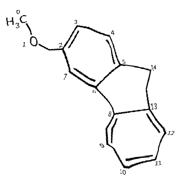 COc1ccc2c(c1)-c1ccccc1[CH]2